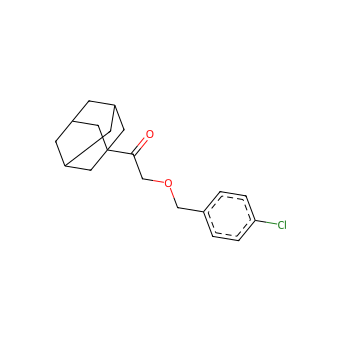 O=C(COCc1ccc(Cl)cc1)C12CC3CC(CC(C3)C1)C2